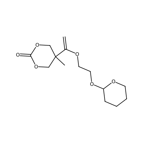 C=C(OCCOC1CCCCO1)C1(C)COC(=O)OC1